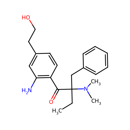 CCC(Cc1ccccc1)(C(=O)c1ccc(CCO)cc1N)N(C)C